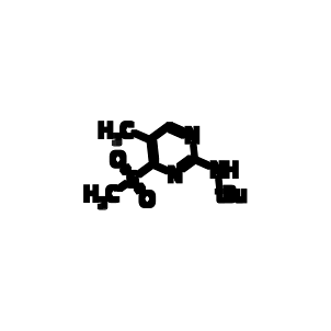 Cc1cnc(NC(C)(C)C)nc1S(C)(=O)=O